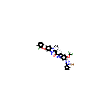 C/C(C(=O)c1cc2cc(OC(F)F)c(NCC3(NS)CCCC3)cc2[nH]1)=C1/Nc2cc(Oc3ccccc3F)ccc2N1C